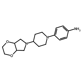 Nc1ccc(N2CCC(N3CC4OCCOC4C3)CC2)cc1